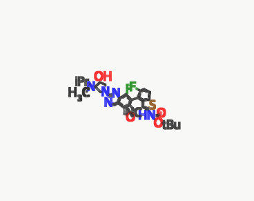 CC(C)N(C)[C@@H]1CN(c2ncc3c4c(c(-c5c(F)ccc6sc(NC(=O)OC(C)(C)C)c(C#N)c56)c(F)c3n2)COC4)C[C@H]1O